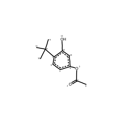 CC(=O)Oc1ccc(C(C)(C)C)c(O)c1